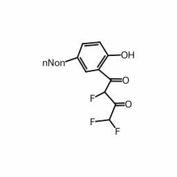 CCCCCCCCCc1ccc(O)c(C(=O)C(F)C(=O)C(F)F)c1